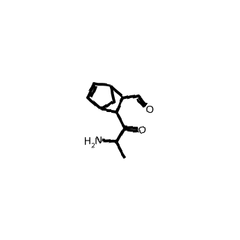 CC(N)C(=O)C1C2C=CC(C2)C1C=O